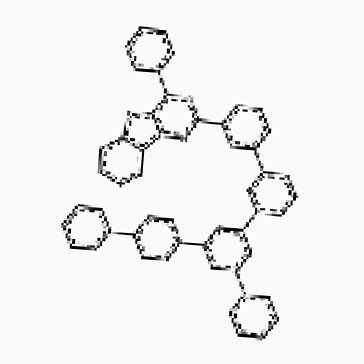 c1ccc(-c2ccc(-c3cc(-c4ccccc4)cc(-c4cccc(-c5cccc(-c6nc(-c7ccccc7)c7sc8ccccc8c7n6)c5)c4)c3)cc2)cc1